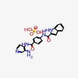 Nc1cnccc1NC(=O)c1ccc(NC(=O)c2cc3ccccc3[nH]2)cc1.O=S(=O)(O)O